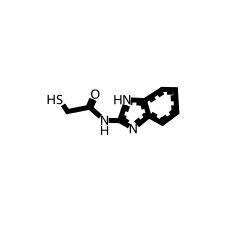 O=C(CS)Nc1nc2ccccc2[nH]1